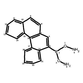 NOB(ON)c1cc2ccc3ccccc3c2c2ccccc12